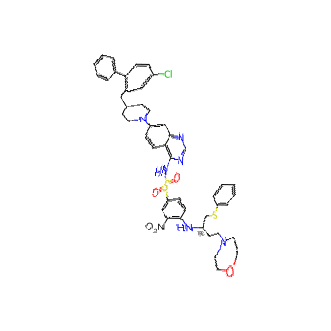 O=[N+]([O-])c1cc(S(=O)(=O)Nc2ncnc3cc(N4CCC(Cc5cc(Cl)ccc5-c5ccccc5)CC4)ccc23)ccc1N[C@H](CCN1CCOCC1)CSc1ccccc1